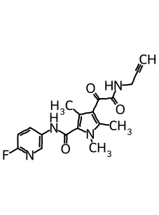 C#CCNC(=O)C(=O)c1c(C)c(C(=O)Nc2ccc(F)nc2)n(C)c1C